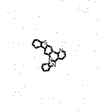 c1ccc2c(c1)nc1c3cccnc3c3cc4sc5ccccc5c4cc3n21